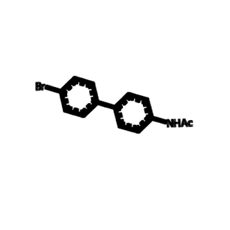 CC(=O)Nc1ccc(-c2ccc(Br)cc2)cc1